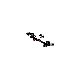 CC(=O)O.O=C(Nc1cccc(COCCOCCCCCCNC[C@H](O)c2ccc(O)c(CO)c2)c1)c1cccc(NC(=O)c2cccs2)c1